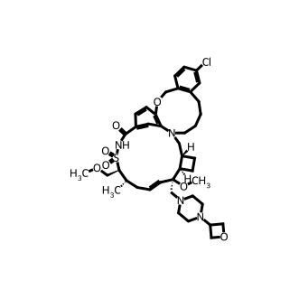 COC[C@@H]1[C@@H](C)C/C=C/[C@](CN2CCN(C3COC3)CC2)(OC)[C@@H]2CC[C@H]2CN2CCCCc3cc(Cl)ccc3COc3ccc(cc32)C(=O)NS1(=O)=O